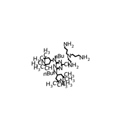 CCCCN(c1nc(Cl)nc(N(CCCC)C2CC(C)(C)N(C)C(C)(C)C2)n1)C1CC(C)(C)N(C)C(C)(C)C1.NCCCN(CCN)CCCN